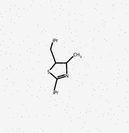 CC(C)CC1SC(C(C)C)=NC1C